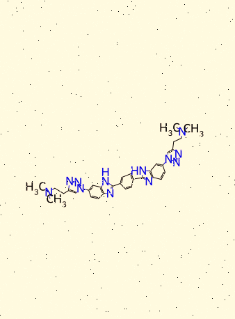 CN(C)CCc1cn(-c2ccc3nc(-c4ccc(-c5nc6ccc(-n7cc(CCN(C)C)nn7)cc6[nH]5)cc4)[nH]c3c2)nn1